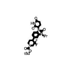 CC(C)n1c(=O)n(C2CCC(=O)NC2=O)c2ccc(C3CCN(C(=O)OC(C)(C)C)CC3(F)F)cc21